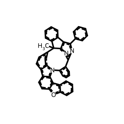 CC12c3ccc4c5ccc6oc7ccccc7c6c5n(c4c3)-c3ccccc3-c3nc(-c4ccccc4)c(c1n3)-c1ccccc12